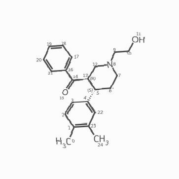 Cc1ccc([C@H]2[CH]CN(CCO)C[C@@H]2C(=O)c2ccccc2)cc1C